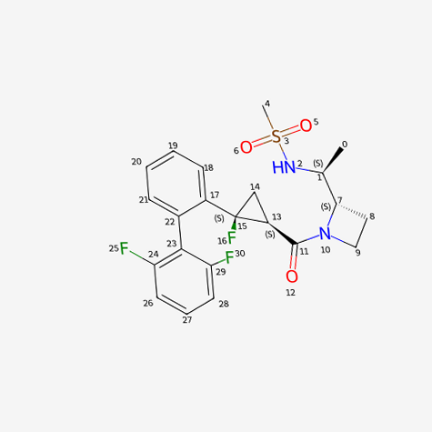 C[C@H](NS(C)(=O)=O)[C@@H]1CCN1C(=O)[C@@H]1C[C@@]1(F)c1ccccc1-c1c(F)cccc1F